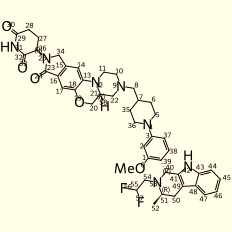 COc1cc(N2CCC(CN3CCN4c5cc6c(cc5OC[C@H]4C3)C(=O)N([C@@H]3CCC(=O)NC3=O)C6)CC2)ccc1[C@@H]1c2[nH]c3ccccc3c2C[C@@H](C)N1CC(F)F